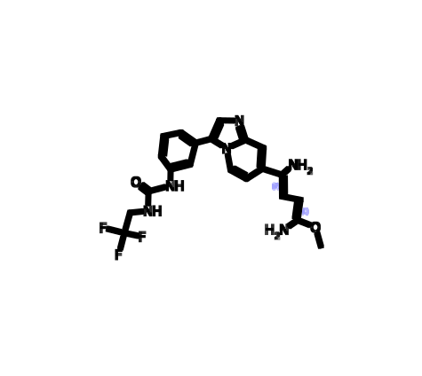 CO/C(N)=C/C=C(\N)c1ccn2c(-c3cccc(NC(=O)NCC(F)(F)F)c3)cnc2c1